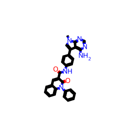 Cn1cc(-c2ccc(NC(=O)c3cc4ccccc4n(-c4ccccc4)c3=O)cc2)c2c(N)ncnc21